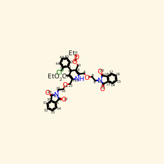 CCOOCC1=C(COCCN2C(=O)c3ccccc3C2=O)NC(COCCN2C(=O)c3ccccc3C2=O)=C(C(=O)OCC)C1c1ccccc1Cl